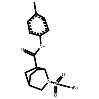 CCCCS(=O)(=O)N1CC2CCC1C(C(=O)Nc1ccc(C)cc1)C2